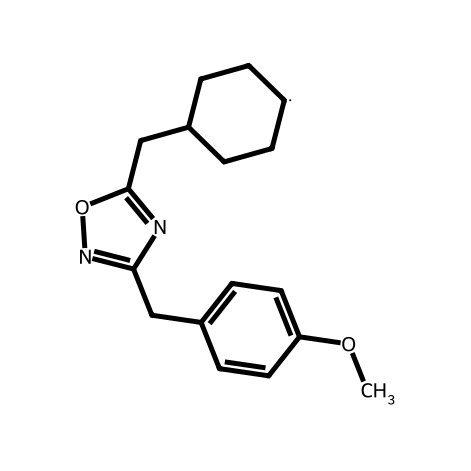 COc1ccc(Cc2noc(CC3CC[CH]CC3)n2)cc1